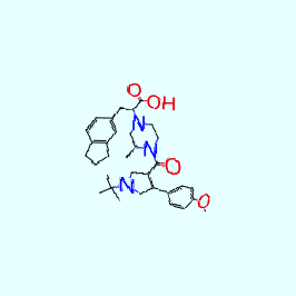 COc1ccc(C2CN(C(C)(C)C)CC2C(=O)N2CCN([C@@H](Cc3ccc4c(c3)CCC4)C(=O)O)C[C@@H]2C)cc1